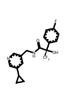 O=C(NCc1cncc(C2CC2)c1)[C@@](O)(c1ccc(F)cc1)C(F)(F)F